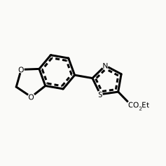 CCOC(=O)c1cnc(-c2ccc3c(c2)OCO3)s1